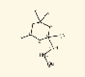 CC1CC(C)(C)CC(C#N)(NNC(C)(C)C)C1